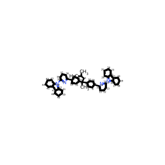 CC(C)CC(C)(c1ccc(-c2cccc(-n3c4ccccc4c4ccccc43)n2)cc1)c1ccc(-c2cccc(-n3c4ccccc4c4ccccc43)n2)cc1